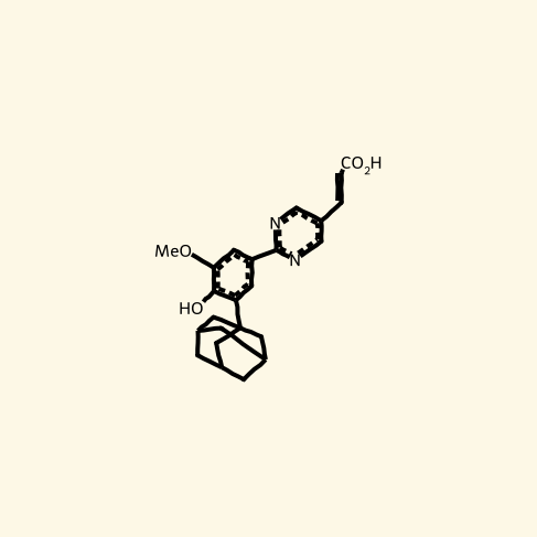 COc1cc(-c2ncc(/C=C/C(=O)O)cn2)cc(C23CC4CC(CC(C4)C2)C3)c1O